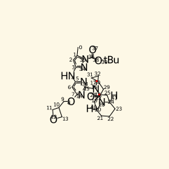 Cc1cc(Nc2cc(OCC3COC3)nc(N(C)[C@@H]3C[C@H]4CCC[C@@H](C3)N4C(=O)CC3CC3)n2)nn1C(=O)OC(C)(C)C